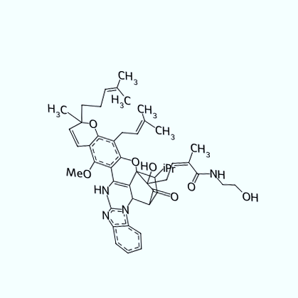 COc1c2c(c(CC=C(C)C)c3c1C1=C4C(C5CC(C(C)C)C4(O3)C(O)(C/C=C(/C)C(=O)NCCO)C5=O)n3c(nc4ccccc43)N1)OC(C)(CCC=C(C)C)C=C2